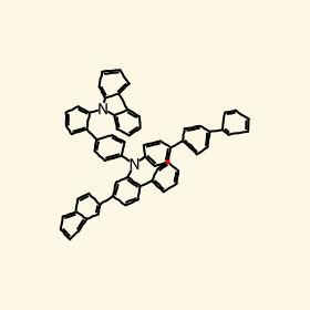 c1ccc(-c2ccc(-c3ccc(N(c4ccc(-c5ccccc5-n5c6ccccc6c6ccccc65)cc4)c4cc(-c5ccc6ccccc6c5)ccc4-c4ccccc4)cc3)cc2)cc1